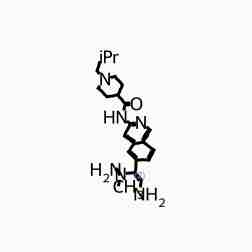 CC(C)CN1CCC(C(=O)Nc2cc3cc(/C(=C/N)N(C)N)ccc3cn2)CC1